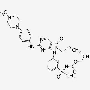 C=CCn1c(=O)c2cnc(Nc3ccc(N4CCN(C)CC4)cc3)nc2n1-c1cccc(S(C)(=O)=NC(=O)OCC)n1